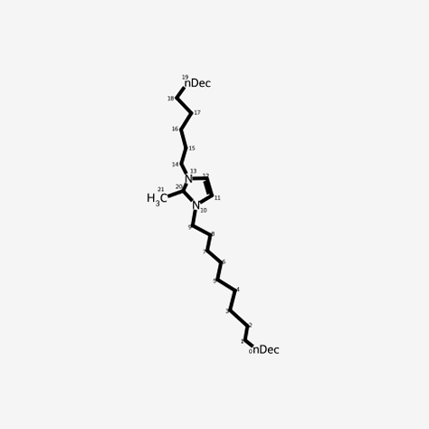 CCCCCCCCCCCCCCCCCCCN1C=CN(CCCCCCCCCCCCCCC)C1C